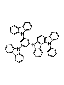 c1ccc(-n2c3ccccc3c3ccc4c(c5ccccc5n4-c4cc(-n5c6ccccc6c6ccccc65)cc(-n5c6ccccc6c6ccccc65)c4)c32)cc1